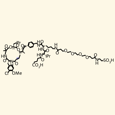 COc1ccc(C[C@H]2NC(=O)/C=C/C[C@@H]([C@H](C)[C@H]3O[C@@H]3c3ccc(CNC(=O)[C@H](CCCCNC(=O)CCOCCOCCOCCOCCC(=O)NCCS(=O)(=O)O)NC(=O)[C@@H](NC(=O)CCCC(=O)O)C(C)C)cc3)OC(=O)[C@H](CC(C)C)OC(=O)C(C)(C)CNC2=O)cc1Cl